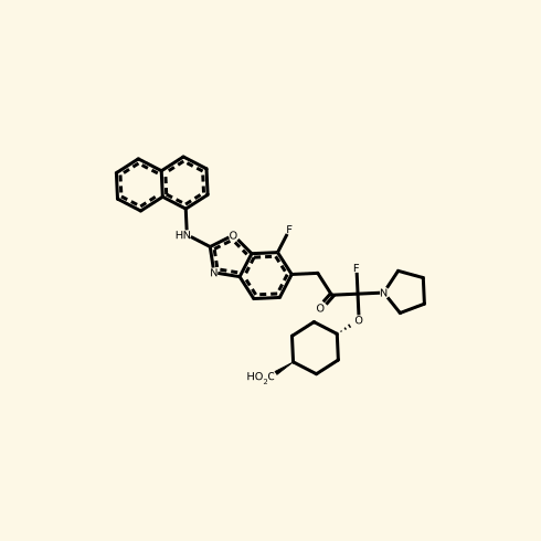 O=C(Cc1ccc2nc(Nc3cccc4ccccc34)oc2c1F)C(F)(O[C@H]1CC[C@H](C(=O)O)CC1)N1CCCC1